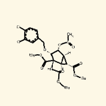 CS(=O)O[C@@H]1[C@H]2[C@H](C(=O)OC(C)(C)C)[C@H]2[C@](NC(=O)OC(C)(C)C)(C(=O)OC(C)(C)C)[C@@H]1OCc1ccc(Cl)c(Cl)c1